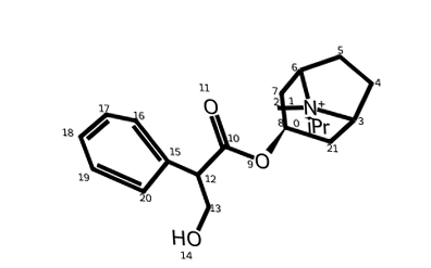 CC(C)[N@+]1(C)C2CCC1C[C@H](OC(=O)C(CO)c1ccccc1)C2